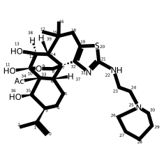 C=C(C)[C@@H]1CC[C@H]2[C@@]34CO[C@@](O)([C@@H](O)[C@@H]3C(C)(C)Cc3sc(NCCN5CCCCC5)nc34)[C@@]2(C(C)=O)[C@@H]1O